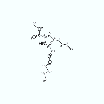 C=CCCc1cc(C(=O)OC)[nH]c1COOCCCC